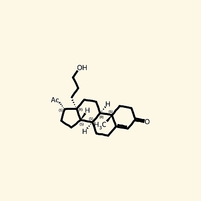 CC(=O)[C@H]1CC[C@H]2[C@@H]3CCC4=CC(=O)CC[C@@]4(C)[C@@H]3CC[C@]12CCCO